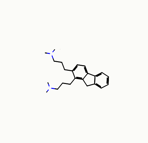 CN(C)CCCc1ccc2c(c1CCCN(C)C)Cc1ccccc1-2